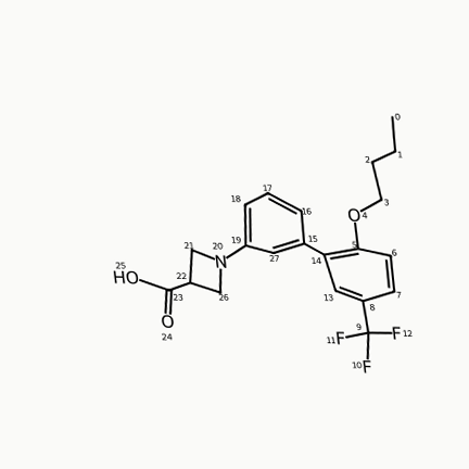 CCCCOc1ccc(C(F)(F)F)cc1-c1cccc(N2CC(C(=O)O)C2)c1